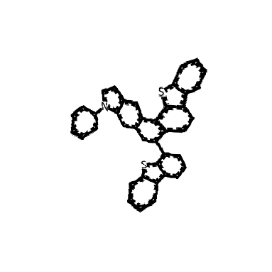 c1ccc(-n2ccc3cc4c(cc(-c5cccc6c5sc5ccccc56)c5ccc6c7ccccc7sc6c54)cc32)cc1